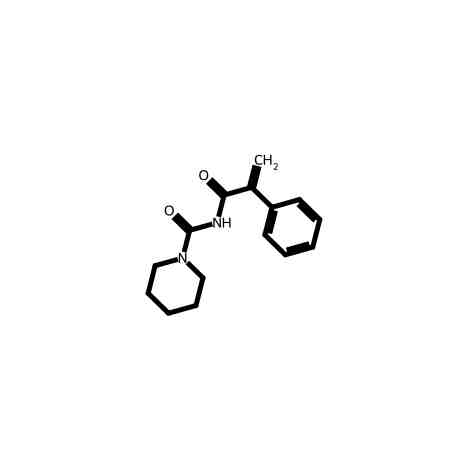 C=C(C(=O)NC(=O)N1CCCCC1)c1ccccc1